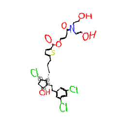 O=C(OCCC(=O)N(CCO)CCO)c1ccc(CCC[C@@H]2[C@@H](CCc3cc(Cl)cc(Cl)c3)[C@H](O)C[C@@H]2Cl)s1